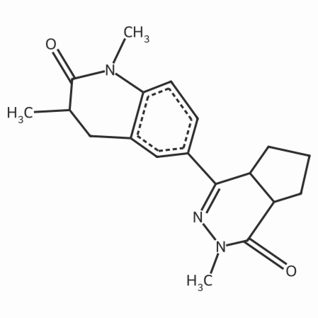 CC1Cc2cc(C3=NN(C)C(=O)C4CCCC34)ccc2N(C)C1=O